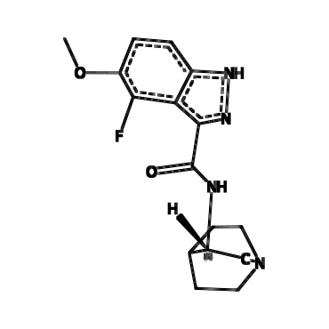 COc1ccc2[nH]nc(C(=O)N[C@@H]3CN4CCC3CC4)c2c1F